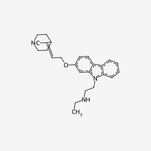 CCNCCn1c2ccccc2c2ccc(OCC=C3CN4CCC3CC4)cc21